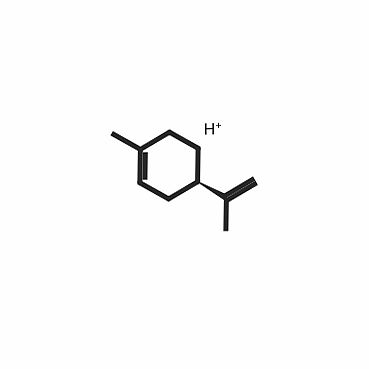 C=C(C)[C@H]1CC=C(C)CC1.[H+]